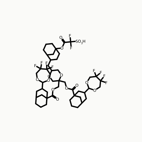 O=C(OCC1(COC(=O)C23CCCC(CC(C4OCC(F)(F)C(F)(F)CO4)C2)C3)COC(CC2CCC3(OC(=O)C(F)(F)S(=O)(=O)O)CCCC2C3)CO1)C12CCCC(CC(C3OCC(F)(F)C(F)(F)CO3)C1)C2